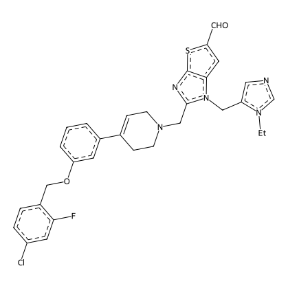 CCn1cncc1Cn1c(CN2CC=C(c3cccc(OCc4ccc(Cl)cc4F)c3)CC2)nc2sc(C=O)cc21